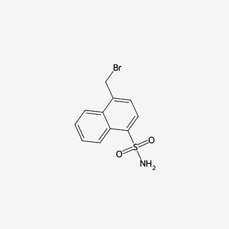 NS(=O)(=O)c1ccc(CBr)c2ccccc12